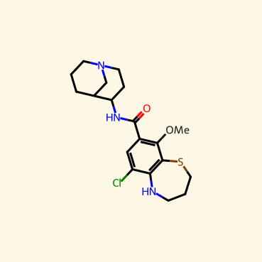 COc1c(C(=O)NC2CCN3CCCC2C3)cc(Cl)c2c1SCCCN2